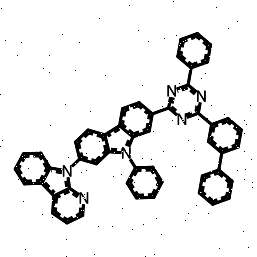 c1ccc(-c2cccc(-c3nc(-c4ccccc4)nc(-c4ccc5c6ccc(-n7c8ccccc8c8cccnc87)cc6n(-c6ccccc6)c5c4)n3)c2)cc1